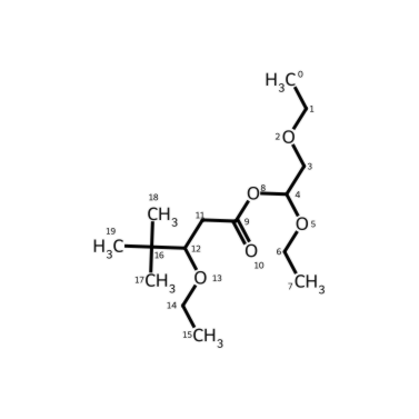 CCOCC(OCC)OC(=O)CC(OCC)C(C)(C)C